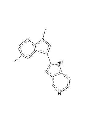 Cc1ccc2c(c1)c(-c1cc3cncnc3[nH]1)cn2C